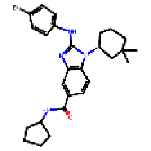 CCc1ccc(Nc2nc3cc(C(=O)NC4CCCC4)ccc3n2[C@H]2CCCC(C)(C)C2)cc1